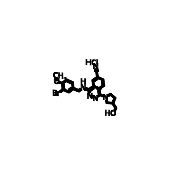 COc1ccc(CNc2nnc(N3CCC(CO)C3)c3ccc(C#N)cc23)cc1Br.Cl